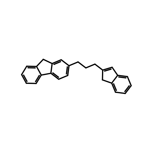 C1=C(CCCc2ccc3c(c2)Cc2ccccc2-3)Cc2ccccc21